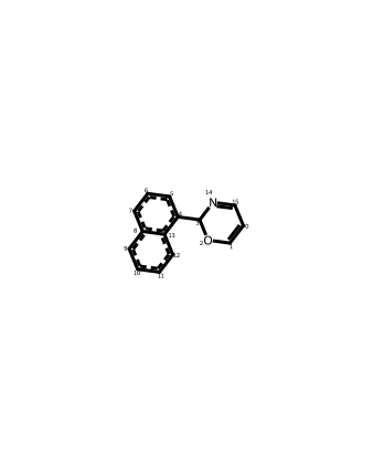 C1=COC(c2cccc3ccccc23)N=C1